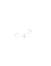 Oc1ccc(-c2nnc(-c3ccccc3)s2)cn1